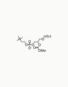 CCCCCCCCOCC(COP(=O)([O-])OCC[N+](C)(C)C)OC(=O)OC